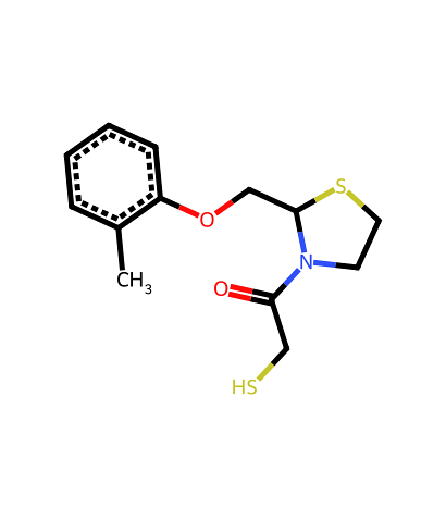 Cc1ccccc1OCC1SCCN1C(=O)CS